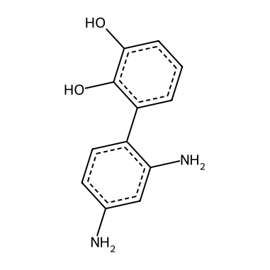 Nc1ccc(-c2cccc(O)c2O)c(N)c1